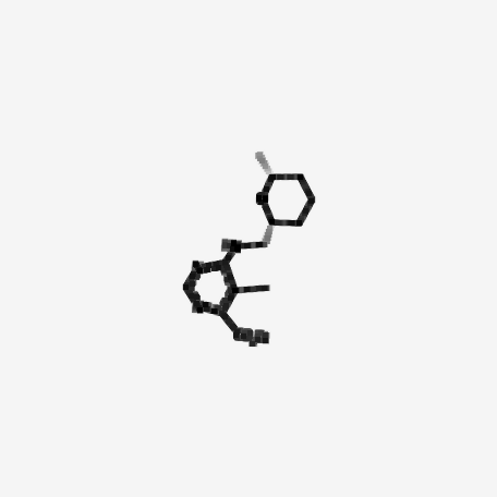 CCOC(=O)c1ncnc(NC[C@H]2CCC[C@@H](C)O2)c1C